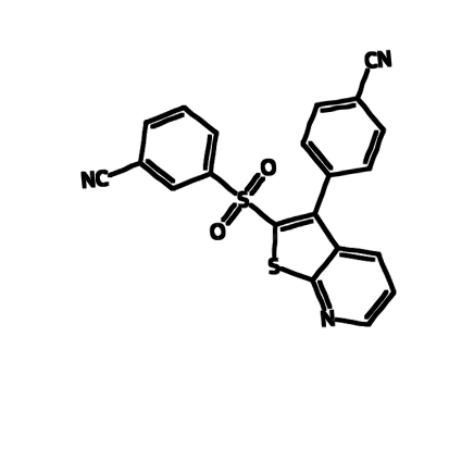 N#Cc1ccc(-c2c(S(=O)(=O)c3cccc(C#N)c3)sc3ncccc23)cc1